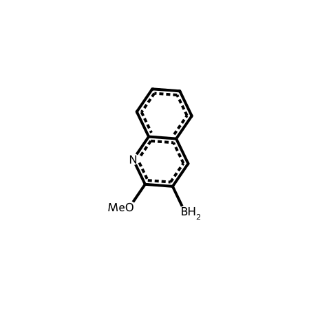 Bc1cc2ccccc2nc1OC